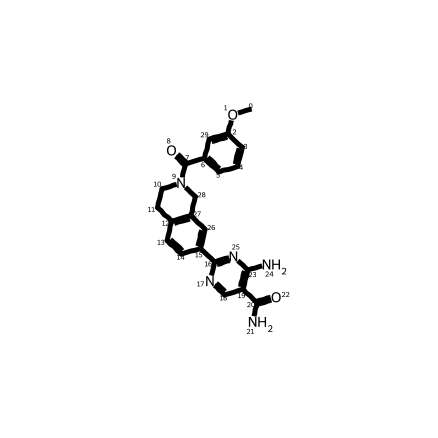 COc1cccc(C(=O)N2CCc3ccc(-c4ncc(C(N)=O)c(N)n4)cc3C2)c1